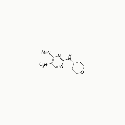 CNc1nc(NC2CCOCC2)ncc1[N+](=O)[O-]